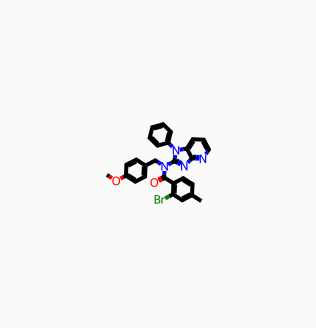 COc1ccc(CN(C(=O)c2ccc(C)cc2Br)c2nc3ncccc3n2-c2ccccc2)cc1